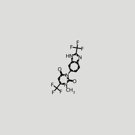 Cn1c(C(F)(F)F)cc(=O)n(-c2ccc3nc(C(F)(F)F)[nH]c3c2)c1=O